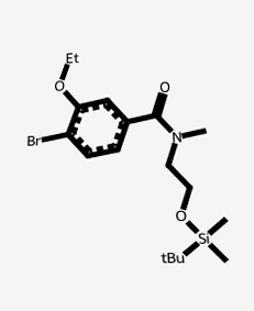 CCOc1cc(C(=O)N(C)CCO[Si](C)(C)C(C)(C)C)ccc1Br